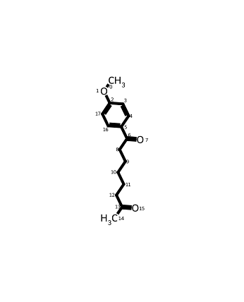 COc1ccc(C(=O)CCCCCC(C)=O)cc1